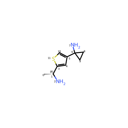 C[C@@H](N)c1cc(C2(N)CC2)cs1